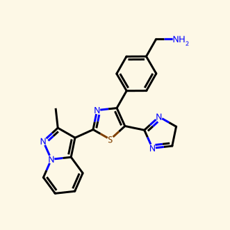 Cc1nn2ccccc2c1-c1nc(-c2ccc(CN)cc2)c(C2=NCC=N2)s1